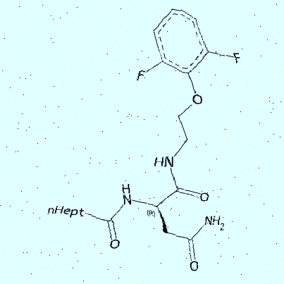 CCCCCCCC(=O)N[C@H](CC(N)=O)C(=O)NCCOc1c(F)cccc1F